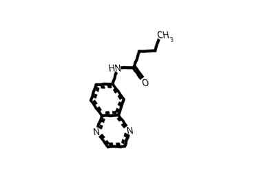 CCCC(=O)Nc1ccc2nccnc2c1